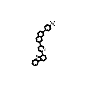 C[Si](C)(C)c1ccc(-c2ccc3ccc(-c4ccc(-c5cccc6c5sc5ccccc56)nc4)cc3c2)cc1